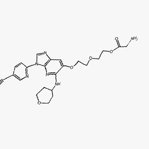 N#Cc1ccc(-n2cnc3cc(OCCOCCOC(=O)CN)c(NC4CCOCC4)nc32)nc1